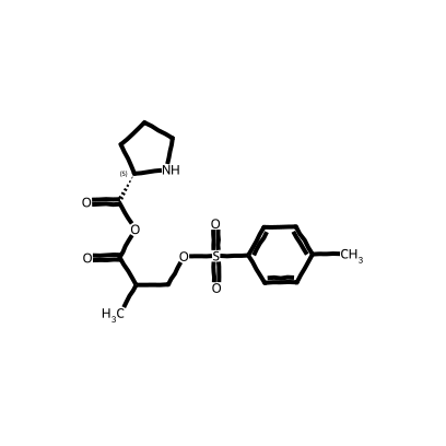 Cc1ccc(S(=O)(=O)OCC(C)C(=O)OC(=O)[C@@H]2CCCN2)cc1